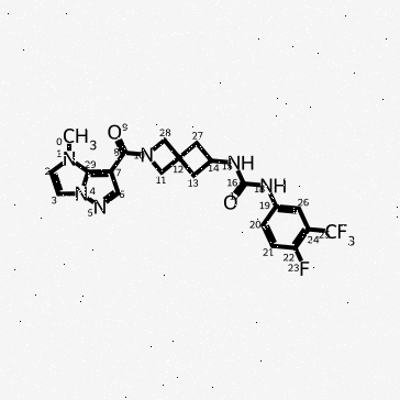 Cn1ccn2ncc(C(=O)N3CC4(CC(NC(=O)Nc5ccc(F)c(C(F)(F)F)c5)C4)C3)c12